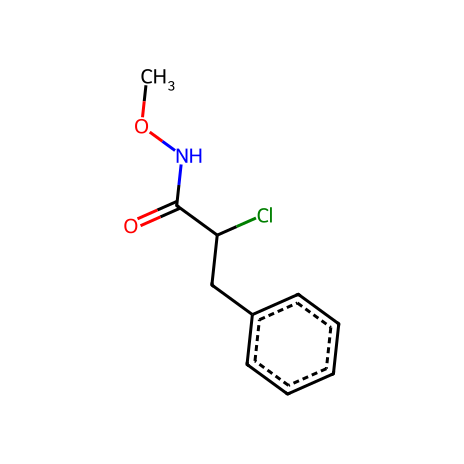 CONC(=O)C(Cl)Cc1ccccc1